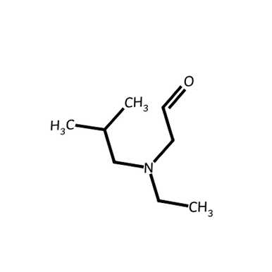 CCN(CC=O)CC(C)C